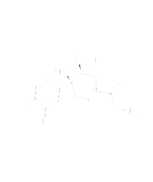 CC(C)(C)OC(=O)N1CC[C@](O)(C2C=CC(F)=C(F)C2)[C@@H](C(=O)O)C1